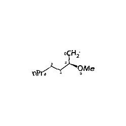 [CH2][C@H](CCCCC)OC